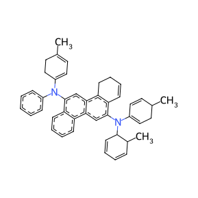 CC1=CC=C(N(c2ccccc2)c2cc3c4c(c(N(C5=CCC(C)C=C5)C5C=CC=CC5C)cc3c3ccccc23)C=CCC4)CC1